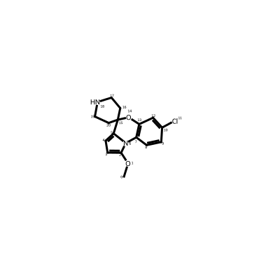 COc1ccc2n1-c1ccc(Cl)cc1OC21CCNCC1